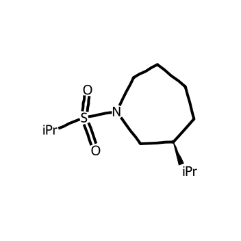 CC(C)[C@@H]1CCCCN(S(=O)(=O)C(C)C)C1